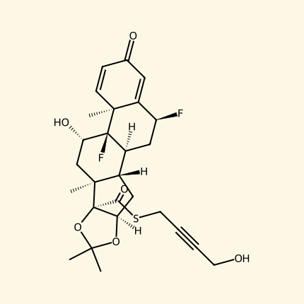 CC1(C)O[C@@H]2C[C@H]3[C@@H]4C[C@H](F)C5=CC(=O)C=C[C@]5(C)[C@@]4(F)[C@@H](O)C[C@]3(C)[C@]2(C(=O)SCC#CCO)O1